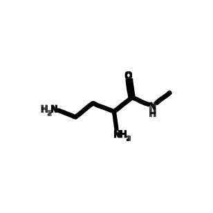 CNC(=O)C(N)CCN